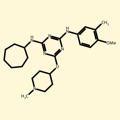 COc1ccc(Nc2nc(NC3CCCCCC3)nc(OC3CCN(C)CC3)n2)cc1C